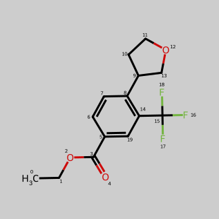 CCOC(=O)c1ccc(C2CCOC2)c(C(F)(F)F)c1